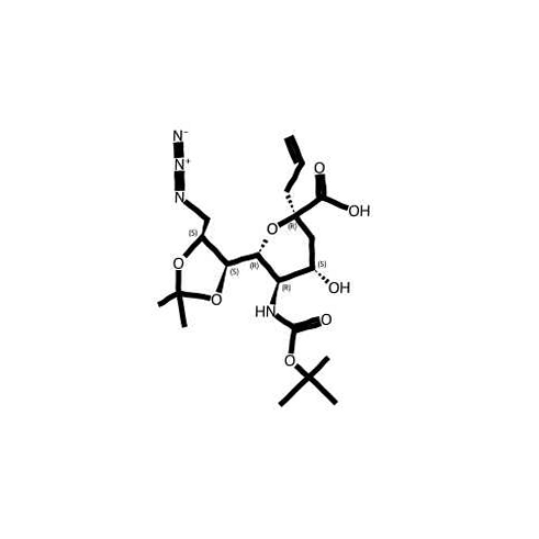 C=CC[C@]1(C(=O)O)C[C@H](O)[C@@H](NC(=O)OC(C)(C)C)[C@H]([C@H]2OC(C)(C)O[C@H]2CN=[N+]=[N-])O1